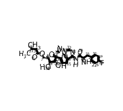 CC(C)CC(=O)OC[C@H]1O[C@@](C#N)(c2ccc3c(NC(=O)[C@@H](N)Cc4ccc(F)cc4)ncnn23)[C@H](O)[C@@H]1O